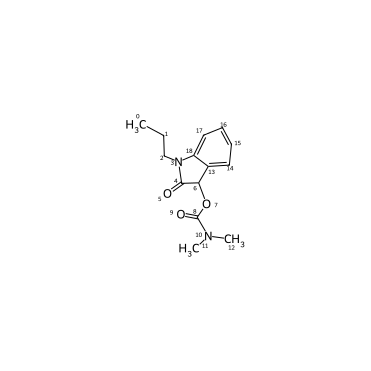 CCCN1C(=O)C(OC(=O)N(C)C)c2ccccc21